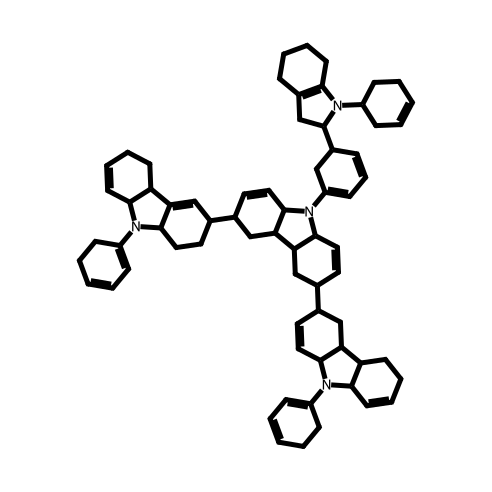 C1=CCCC(N2C3CCC(C4C=CC5C(C4)C4CC(C6C=CC7C(C6)C6CCC=CC6N7C6=CC=CCC6)C=CC4N5C4=CC=CC(C5CC6=C(CCCC6)N5C5CC=CCC5)C4)C=C3C3CCC=CC32)=C1